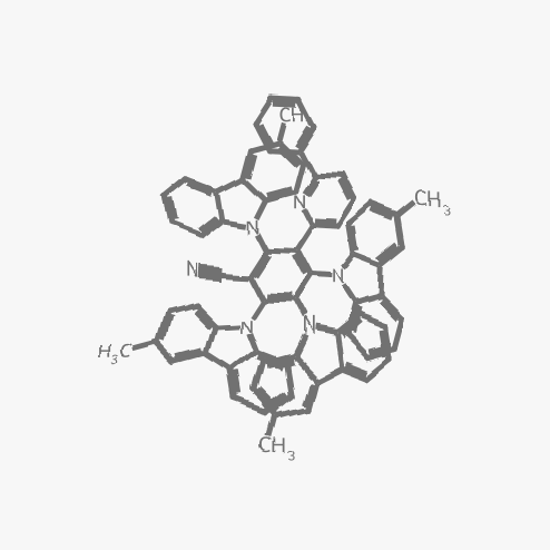 Cc1ccc2c(c1)c1ccccc1n2-c1c(C#N)c(-n2c3ccccc3c3cc(C)ccc32)c(-n2c3ccccc3c3cc(C)ccc32)c(-n2c3ccccc3c3cc(C)ccc32)c1-c1cccc(-c2ccccc2)n1